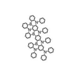 c1ccc(N(c2ccccc2)c2cc3c4c(c2)N(c2ccccc2)c2cc5c(cc2B4c2ccccc2N3c2ccccc2)B2c3ccccc3N3c4ccccc4B4c6ccccc6N(c6ccccc6)c6cc(c2c3c64)N5c2ccccc2)cc1